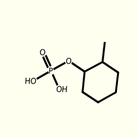 CC1CCCCC1OP(=O)(O)O